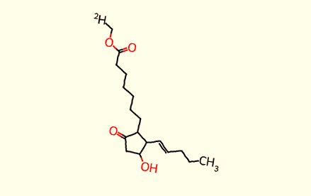 [2H]COC(=O)CCCCCCC1C(=O)CC(O)C1/C=C/CCC